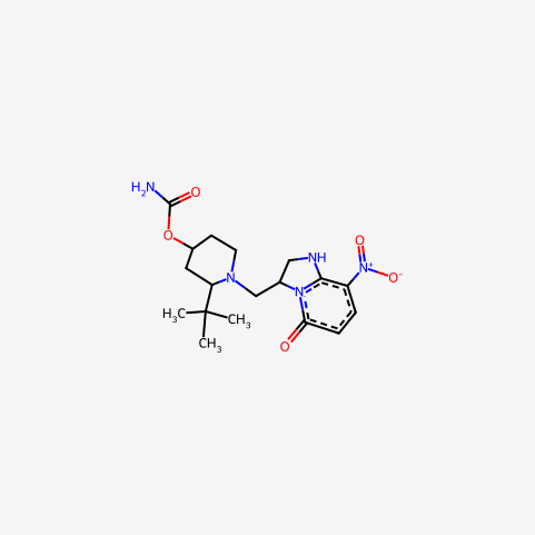 CC(C)(C)C1CC(OC(N)=O)CCN1CC1CNc2c([N+](=O)[O-])ccc(=O)n21